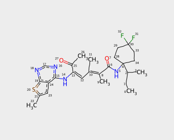 CCC(C)C1(NC(=O)/C(C)=C(C)/C=C(/Nc2ncnc3sc(C)cc23)C(C)=O)CCC(F)(F)CC1